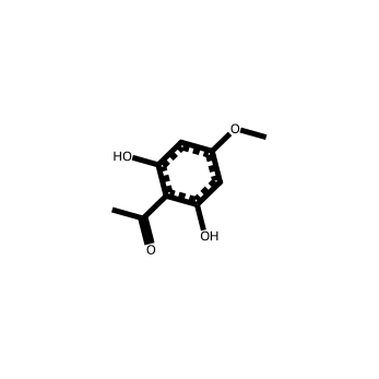 COc1cc(O)c(C(C)=O)c(O)c1